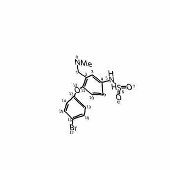 CNCc1cc(N[SH](=O)=O)ccc1Oc1ccc(Br)cc1